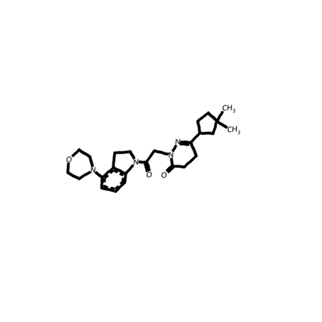 CC1(C)CCC(C2=NN(CC(=O)N3CCc4c(N5CCOCC5)cccc43)C(=O)CC2)C1